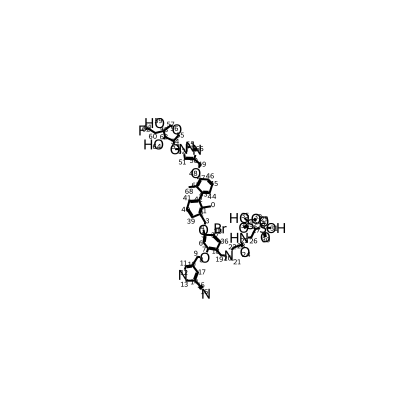 Cc1c(COc2cc(OCc3cncc(C#N)c3)c(CN(C)CC(=O)NCC(S(=O)(=O)O)S(=O)(=O)O)cc2Br)cccc1-c1cccc(OCc2cn(OC3COC[C@](O)(CCF)C3O)nn2)c1C